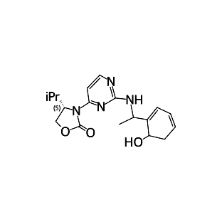 CC(Nc1nccc(N2C(=O)OC[C@@H]2C(C)C)n1)C1=CC=CCC1O